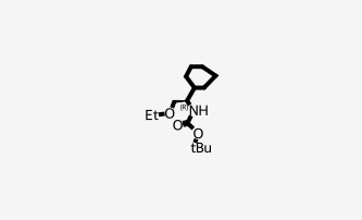 CCOC[C@H](NC(=O)OC(C)(C)C)C1CCCCC1